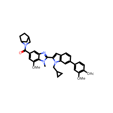 COc1cc(-c2ccc3cc(-c4nc5cc(C(=O)N6CC7CCC6C7)cc(OC)c5n4C)n(CC4CC4)c3c2)ccc1OC(C)=O